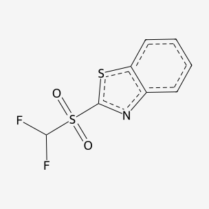 O=S(=O)(c1nc2ccccc2s1)C(F)F